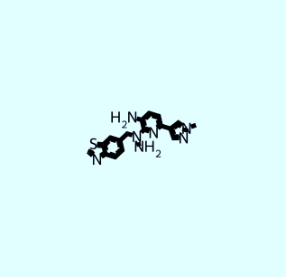 Cn1cc(-c2ccc(N)c(N(N)Cc3ccc4ncsc4c3)n2)cn1